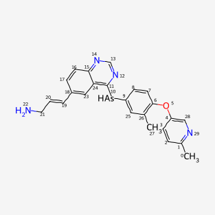 Cc1ccc(Oc2ccc([AsH]c3ncnc4ccc(C=CCN)cc34)cc2C)cn1